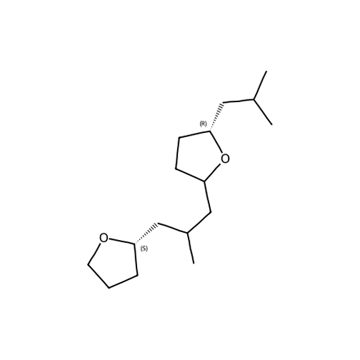 CC(C)C[C@H]1CCC(CC(C)C[C@@H]2CCCO2)O1